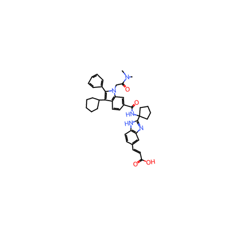 CN(C)C(=O)Cn1c(-c2ccccc2)c(C2CCCCC2)c2ccc(C(=O)NC3(c4nc5cc(C=CC(=O)O)ccc5[nH]4)CCCC3)cc21